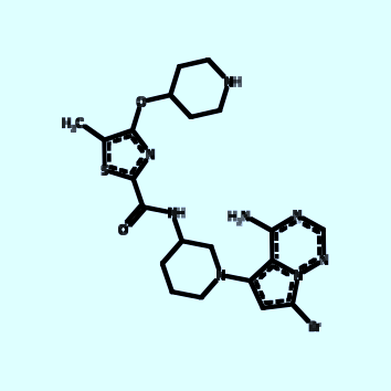 Cc1sc(C(=O)NC2CCCN(c3cc(Br)n4ncnc(N)c34)C2)nc1OC1CCNCC1